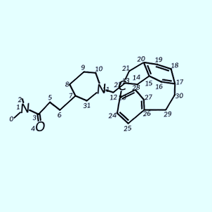 CN(C)C(=O)CCC1CCCN(CCCc2cc3ccc2CCc2ccc(cc2)CC3)C1